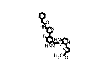 CC(=O)c1ccc(-c2nccc3[nH]c(-c4n[nH]c5cc(F)c(-c6cncc(NC(=O)Cc7ccccc7)c6)cc45)nc23)s1